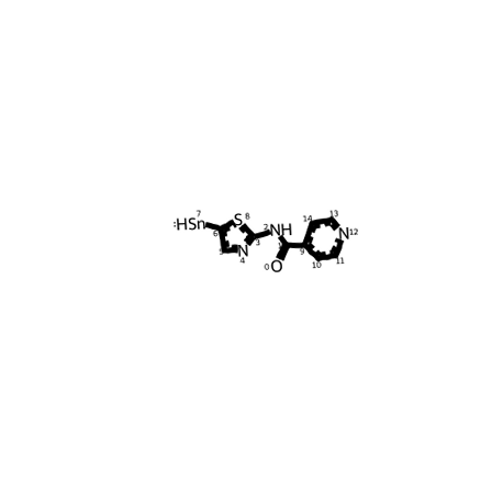 O=C(Nc1nc[c]([SnH])s1)c1ccncc1